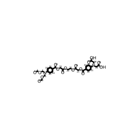 O=COCN(COC=O)c1ccc(C(=O)OCC(=O)OCCOC(=O)COC(=O)c2ccc(N(CC(=O)O)CC(=O)O)cc2)cc1